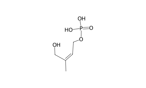 CC(=CCOP(=O)(O)O)CO